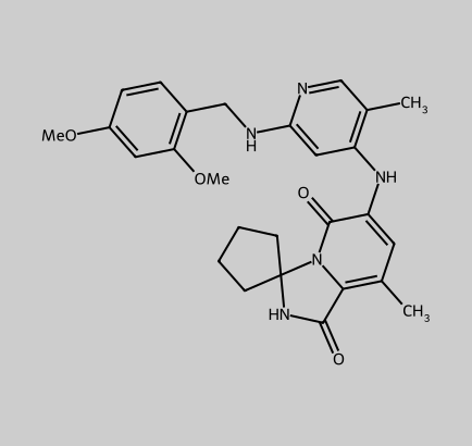 COc1ccc(CNc2cc(Nc3cc(C)c4n(c3=O)C3(CCCC3)NC4=O)c(C)cn2)c(OC)c1